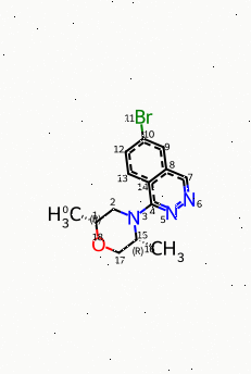 C[C@@H]1CN(c2nncc3cc(Br)ccc23)[C@H](C)CO1